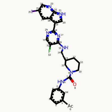 CC(=O)c1cccc(NC(=O)N2CCCC(CNc3nc(-c4c[nH]c5ncc(I)cc45)ncc3F)C2)c1